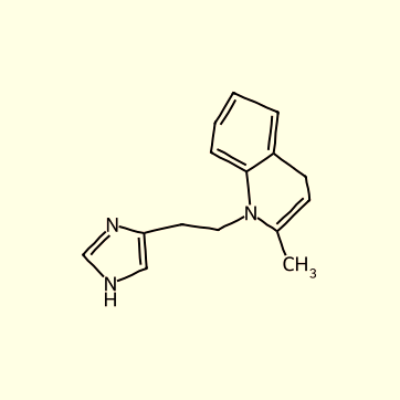 CC1=CCc2ccccc2N1CCc1c[nH]cn1